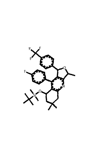 CC1OC(c2ccc(C(F)(F)F)cc2)c2c1nc1c(c2-c2ccc(F)cc2)C(O[Si](C)(C)C(C)(C)C)CC(C)(C)C1